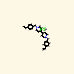 C=Cc1ccc(CN2C=CC(=C3C=CN(Cc4ccc(C=C)cc4)C=C3)C=C2)cc1.Cl.Cl